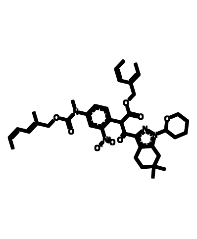 C/C=C\C=C(/C)COC(=O)N(C)c1ccc(C(C(=O)OCC(/C=C\C)=C/C)C(=O)c2nn(C3CCCCO3)c3c2CCC(C)(C)C3)c([N+](=O)[O-])c1